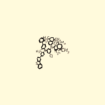 Cc1cc(-c2ccccc2)ccc1N(c1ccc(-c2ccc3sc4ccccc4c3c2)cc1)c1cc(Cl)cc(N(c2ccc3c(c2)C(C)(C)CCC3(C)C)c2ccc3c(c2)C(C)(C)CCC3(C)C)c1